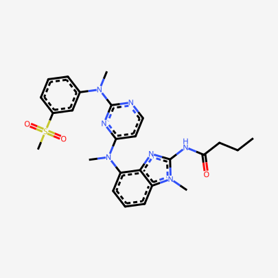 CCCC(=O)Nc1nc2c(N(C)c3ccnc(N(C)c4cccc(S(C)(=O)=O)c4)n3)cccc2n1C